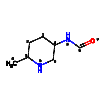 CC1CCC(NC=O)CN1